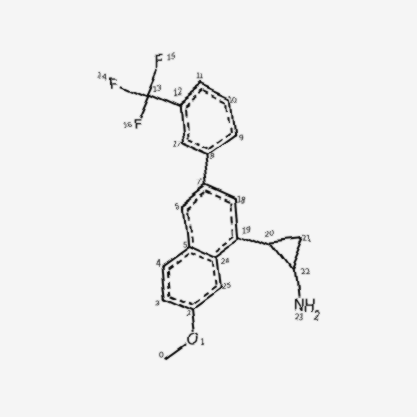 COc1ccc2cc(-c3cccc(C(F)(F)F)c3)cc(C3CC3N)c2c1